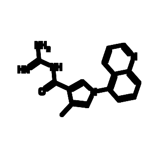 Cc1cn(-c2cccc3ncccc23)cc1C(=O)NC(=N)N